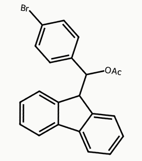 CC(=O)OC(c1ccc(Br)cc1)C1c2ccccc2-c2ccccc21